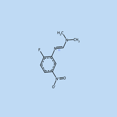 CN(C)/C=N/c1cc([N+](=O)[O-])ccc1F